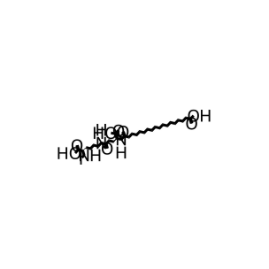 O=C(O)CCCCCCCCCCCCCCCCC(=O)N[C@@H](CCC(=O)NCCCC[C@H](NI)C(=O)O)C(=O)O